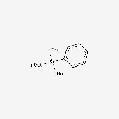 CCCCCCC[CH2][Sn]([CH2]CCC)([CH2]CCCCCCC)[c]1ccccc1